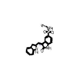 CC(C)NS(=O)(=O)c1ccc2c(c1)/C(=C/c1cc3ccccc3[nH]1)C(=O)N2